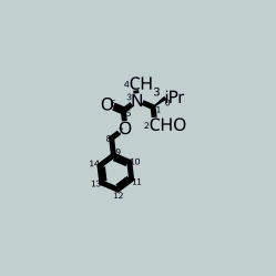 CC(C)[C@@H](C=O)N(C)C(=O)OCc1ccccc1